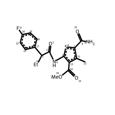 CCC(C(=O)Nc1sc(C(N)=O)c(C)c1C(=O)OC)c1ccc(F)cc1